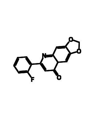 O=C1C=C(c2ccccc2F)N=C2C=C3OCOC3=CC12